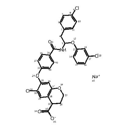 O=C(NC(Cc1ccc(Cl)cc1)Oc1cccc(Cl)c1)c1ccc(Oc2cc3c(cc2Cl)C(C(=O)[O-])CCO3)cc1.[Na+]